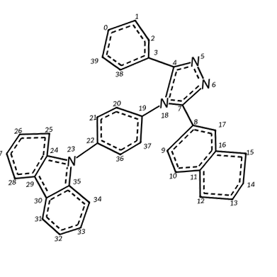 c1ccc(-c2nnc(-c3ccc4ccccc4c3)n2-c2ccc(-n3c4ccccc4c4ccccc43)cc2)cc1